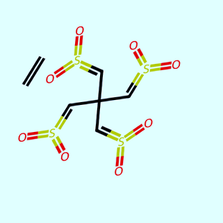 C=C.O=S(=O)=CC(C=S(=O)=O)(C=S(=O)=O)C=S(=O)=O